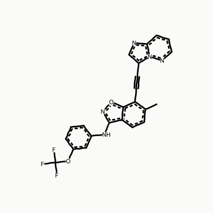 Cc1ccc2c(Nc3cccc(OC(F)(F)F)c3)noc2c1C#Cc1cnc2cccnn12